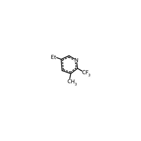 CCc1cnc(C(F)(F)F)c(C)c1